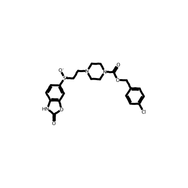 O=C(OCc1ccc(Cl)cc1)N1CCN(CC[S+]([O-])c2ccc3[nH]c(=O)oc3c2)CC1